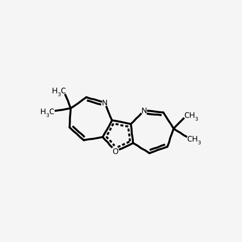 CC1(C)C=Cc2oc3c(c2N=C1)N=CC(C)(C)C=C3